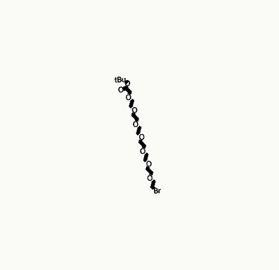 CC(C)(C)OC(=O)COCCOCCOCCOCCOCCOCCOCCBr